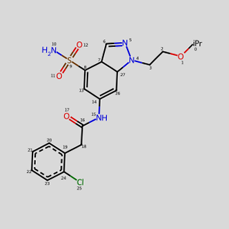 CC(C)OCCN1N=CC2C(S(N)(=O)=O)=CC(NC(=O)Cc3ccccc3Cl)=CC21